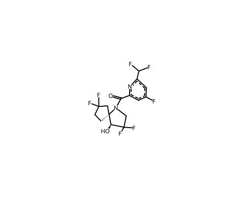 O=C(c1cc(F)cc(C(F)F)n1)N1CC(F)(F)[C@@H](O)[C@]12CCC(F)(F)C2